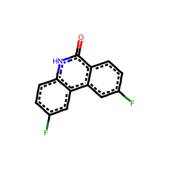 O=c1[nH]c2ccc(F)cc2c2cc(F)ccc12